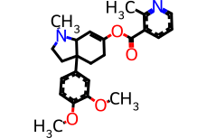 COc1ccc(C23CCC(OC(=O)c4cccnc4C)=CC2N(C)CC3)cc1OC